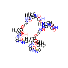 Cc1cc(OCC2CC3(CCN(CC(=O)Nc4ccc5c(C6CCC(=O)NC6=O)nn(C)c5c4C)CC3)C2)ccc1-c1ccc(N2CCc3cccc(C(=O)Nc4nc5ccccc5s4)c3C2)nc1C(=O)O.Cc1cc(OCC2CC3(CCN(CC(=O)Nc4ccc5c(C6CCC(=O)NC6=O)nn(C)c5c4C)CC3)C2)ccc1-c1ccc(N2CCc3cccc(C(=O)Nc4nc5ccccc5s4)c3C2)nc1C(=O)OC(C)(C)C